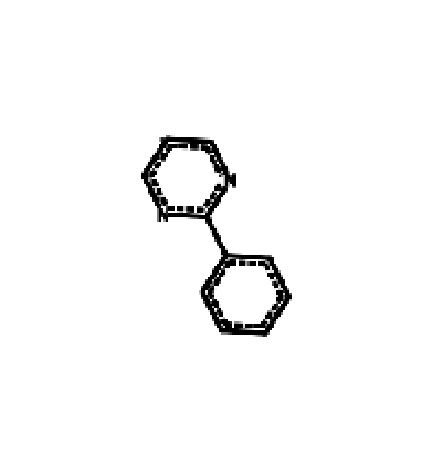 [c]1cnc(-c2ccccc2)nc1